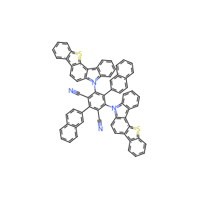 N#Cc1c(-c2ccc3ccccc3c2)c(C#N)c(-n2c3ccccc3c3c4sc5ccccc5c4ccc32)c(-c2ccc3ccccc3c2)c1-n1c2ccccc2c2c3sc4ccccc4c3ccc21